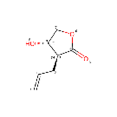 C=CC[C@@H]1C(=O)OC[C@H]1O